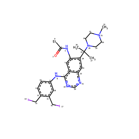 CCC(=O)Nc1cc2c(Nc3ccc(CI)c(CI)c3)ncnc2cc1C(C)(C)N1CCN(C)CC1